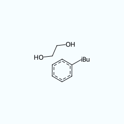 CCC(C)c1ccccc1.OCCO